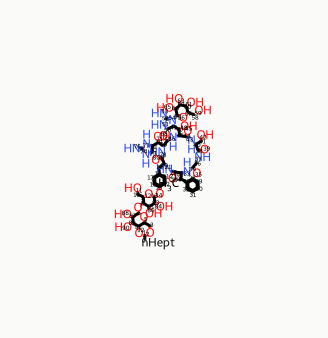 CCCCCCCC1OCC2OC(OC3C(CO)OC(Oc4ccc(CC5NC(=O)C(C(C)c6ccccc6)NC(=O)CNC(=O)C(CO)NC(=O)C(C(O)C6CNC(=N)N6C6OC(CO)C(O)C(O)C6O)NC(=O)C(C(O)C6CNC(=N)N6)NC5=O)cc4)C(O)C3O)C(O)C(O)C2O1